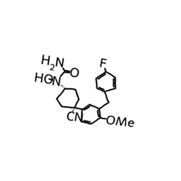 COc1ccc([C@]2(C#N)CC[C@@H](N(O)C(N)=O)CC2)cc1Cc1ccc(F)cc1